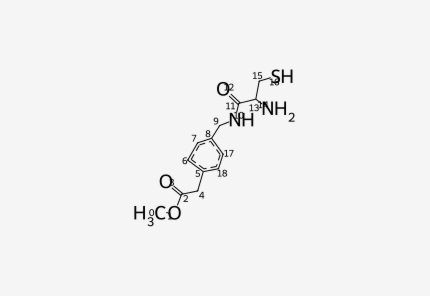 COC(=O)Cc1ccc(CNC(=O)C(N)CS)cc1